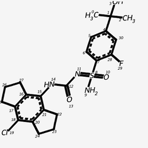 CC(C)(O)c1ccc(S(N)(=O)=NC(=O)Nc2c3c(c(Cl)c4c2CCC4)CCC3)c(F)c1